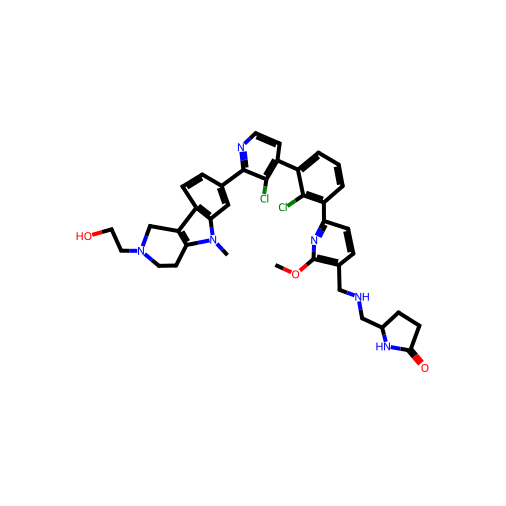 COc1nc(-c2cccc(-c3ccnc(-c4ccc5c6c(n(C)c5c4)CCN(CCO)C6)c3Cl)c2Cl)ccc1CNCC1CCC(=O)N1